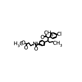 CCCC(c1ccc(C(=O)NCCC(=O)OC)cc1)C(C(C)=O)c1ccc(Cl)cc1